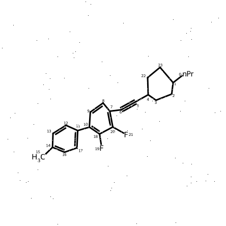 CCCC1CCC(C#Cc2ccc(-c3ccc(C)cc3)c(F)c2F)CC1